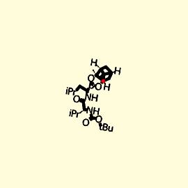 CC(C)CC(NC(=O)[C@H](NC(=O)OC(C)(C)C)C(C)C)B1O[C@@H]2C[C@@H]3C[C@@H](C3(C)C)[C@]2(C)O1